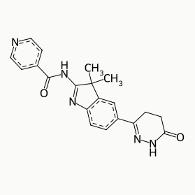 CC1(C)C(NC(=O)c2ccncc2)=Nc2ccc(C3=NNC(=O)CC3)cc21